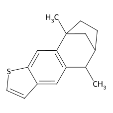 CC1c2cc3ccsc3cc2C2(C)CCC1C2